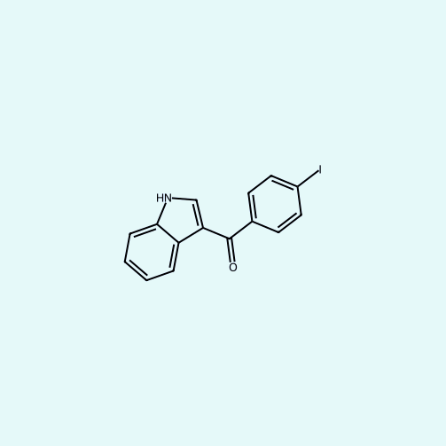 O=C(c1ccc(I)cc1)c1c[nH]c2ccccc12